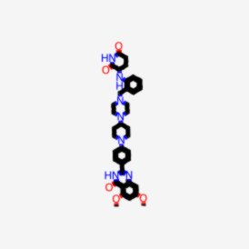 COc1cc(OC)c2c(=O)[nH]c(-c3ccc(N4CCC(N5CCN(Cc6ccccc6NC6CCC(=O)NC6=O)CC5)CC4)cc3)nc2c1